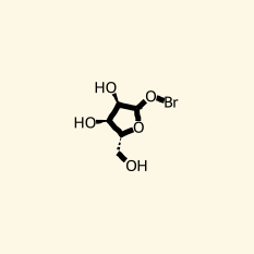 OC[C@H]1O[C](OBr)[C@H](O)[C@@H]1O